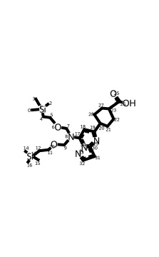 C[Si](C)(C)CCOCN(COCC[Si](C)(C)C)c1cc(C2CCC(C(=O)O)CC2)nc2ccnn12